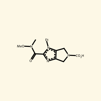 CCn1c(C(=O)N(C)OC)nc2c1CN(C(=O)O)C2